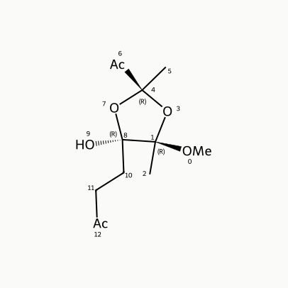 CO[C@]1(C)O[C@](C)(C(C)=O)O[C@]1(O)CCC(C)=O